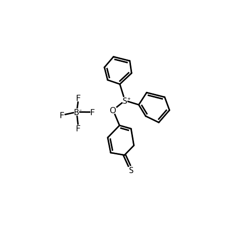 F[B-](F)(F)F.S=C1C=CC(O[S+](c2ccccc2)c2ccccc2)=CC1